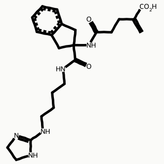 C=C(CCC(=O)NC1(C(=O)NCCCCNC2=NCCN2)Cc2ccccc2C1)C(=O)O